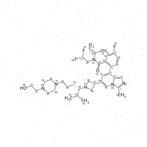 Cc1ncc2c(-c3ccc(F)cc3C(=O)N(CC(F)F)C(C)C)cc(C3CN([C@@H](CCCN4CCN(CCO)CC4)C(C)C)C3)cn12